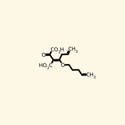 C=CCCCOC(CC=C)=C(C(=O)O)C(=O)C(=O)O